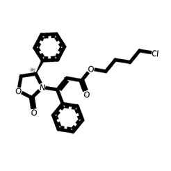 O=C([C]=C(c1ccccc1)N1C(=O)OC[C@H]1c1ccccc1)OCCCCCl